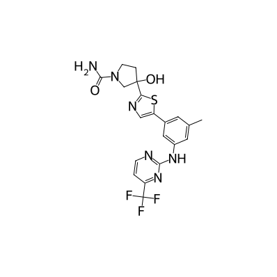 Cc1cc(Nc2nccc(C(F)(F)F)n2)cc(-c2cnc(C3(O)CCN(C(N)=O)C3)s2)c1